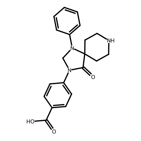 O=C(O)c1ccc(N2CN(c3ccccc3)C3(CCNCC3)C2=O)cc1